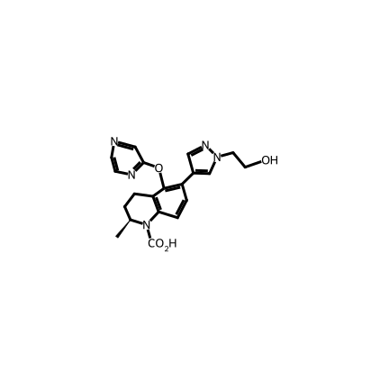 C[C@H]1CCc2c(ccc(-c3cnn(CCO)c3)c2Oc2cnccn2)N1C(=O)O